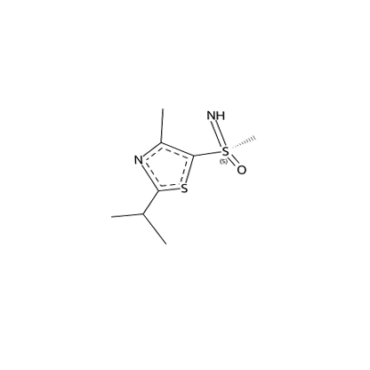 Cc1nc(C(C)C)sc1[S@@](C)(=N)=O